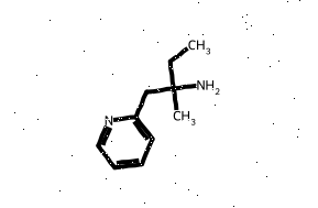 CCC(C)(N)Cc1ccccn1